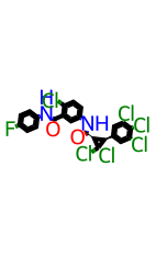 O=C(Nc1ccc(F)cc1)c1cc(NC(=O)[C@@H]2[C@@H](c3cc(Cl)c(Cl)c(Cl)c3)C2(Cl)Cl)ccc1Cl